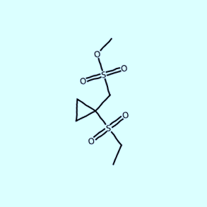 CCS(=O)(=O)C1(CS(=O)(=O)OC)CC1